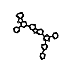 c1ccc(-c2ccc(-c3nc(-c4ccccc4)nc(-c4ccc5c(c4)sc4cc(-c6cc(-c7ccccc7)c7oc8ccccc8c7c6)ccc45)n3)cc2)cc1